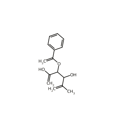 C=C(OC(C(=C)O)C(O)C(=C)C)c1ccccc1